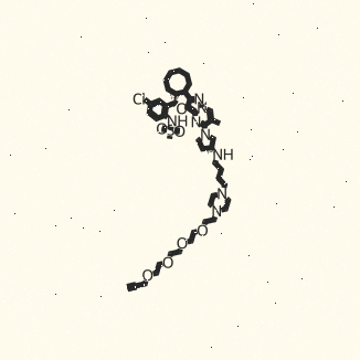 C#CCOCCOCCOCCOCCN1CCN(CCCCN[C@H]2CCN(c3nc4cc(C5CCCCCC[C@@H]5C(=O)c5cc(Cl)ccc5NS(C)(=O)=O)nn4cc3C)C2)CC1